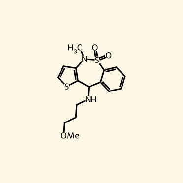 COCCCNC1c2ccccc2S(=O)(=O)N(C)c2ccsc21